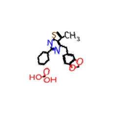 Cc1csc2nc(C3CCCCC3)nc(Cc3ccc4c(c3)OCO4)c12.O=C(O)O